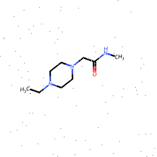 CCN1CCN(CC(=O)NC)CC1